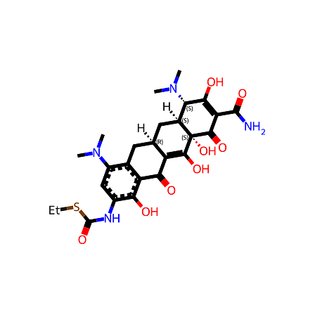 CCSC(=O)Nc1cc(N(C)C)c2c(c1O)C(=O)C1=C(O)[C@]3(O)C(=O)C(C(N)=O)=C(O)[C@@H](N(C)C)[C@@H]3C[C@@H]1C2